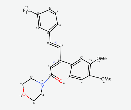 COc1ccc(C(=C\C(=O)N2CCOCC2)/C=C/c2cccc(C(F)(F)F)c2)cc1OC